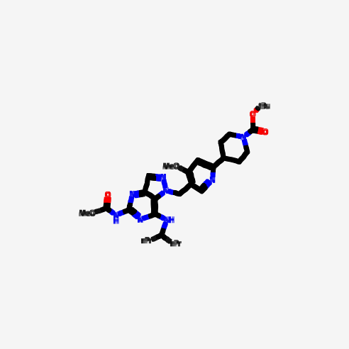 CCCC(CCC)Nc1nc(NC(=O)OC)nc2cnn(Cc3cnc(C4CCN(C(=O)OC(C)(C)C)CC4)cc3OC)c12